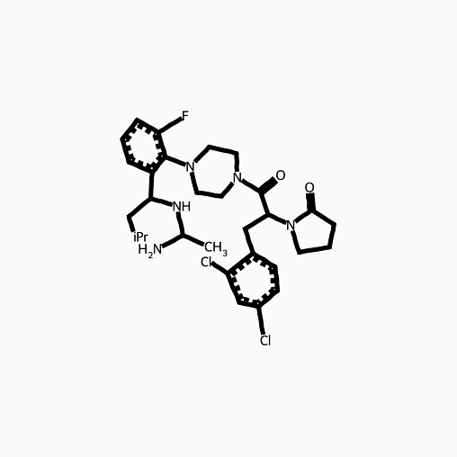 CC(C)CC(NC(C)N)c1cccc(F)c1N1CCN(C(=O)C(Cc2ccc(Cl)cc2Cl)N2CCCC2=O)CC1